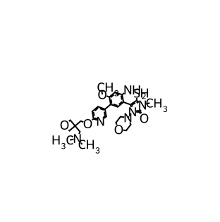 COc1cc(N)c(-c2c(S)n(C)c(=O)n2N2CCOCC2)cc1-c1ccc(OCC2(CN(C)C)COC2)nc1